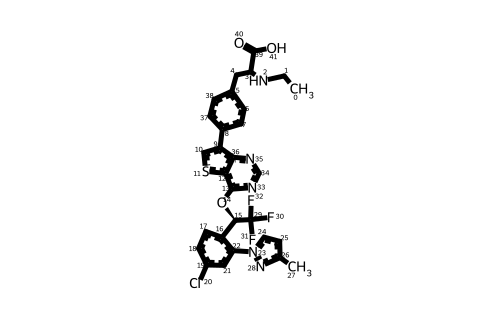 CCNC(Cc1ccc(-c2csc3c(O[C@H](c4ccc(Cl)cc4-n4ccc(C)n4)C(F)(F)F)ncnc23)cc1)C(=O)O